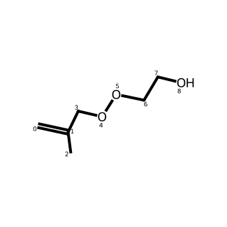 C=C(C)COOCCO